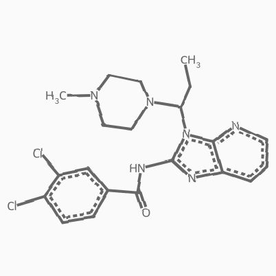 CCC(N1CCN(C)CC1)n1c(NC(=O)c2ccc(Cl)c(Cl)c2)nc2cccnc21